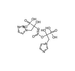 O=[PH](OC(O)(Cn1ccnc1)P(=O)(O)O)OC(O)(Cn1ccnc1)P(=O)(O)O